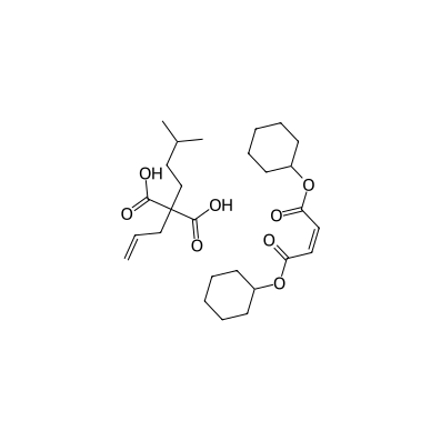 C=CCC(CCC(C)C)(C(=O)O)C(=O)O.O=C(/C=C\C(=O)OC1CCCCC1)OC1CCCCC1